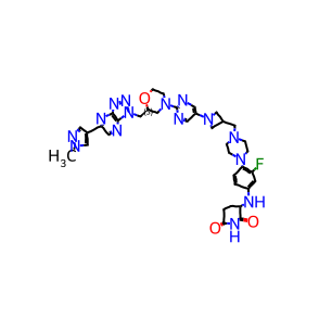 Cn1cc(-c2cnc3c(nnn3C[C@@H]3CN(c4ncc(N5CC(CN6CCN(c7ccc(NC8CCC(=O)NC8=O)cc7F)CC6)C5)cn4)CCO3)n2)cn1